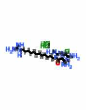 Cl.Cl.N=C(N)NCCCCCCCCCCCCN(C(=N)N)C(=O)c1nc(Cl)c(N)nc1N